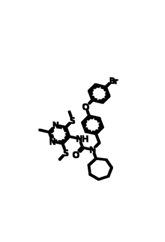 CSc1nc(C)nc(SC)c1NC(=O)N(Cc1ccc(Oc2ccc(Br)cc2)cc1)C1CCCCCC1